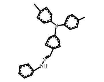 Cc1ccc(N(c2ccc(C)cc2)c2ccc(C=NNc3ccccc3)cc2)cc1